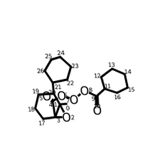 CC12OC1(C(=O)OOOC(=O)C1CCCCC1)CCCC2C1CCCCC1